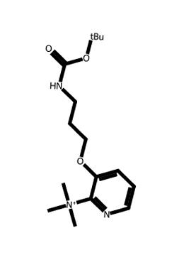 CC(C)(C)OC(=O)NCCCOc1cccnc1[N+](C)(C)C